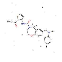 COC(=O)c1sccc1NC(=O)N1CCOc2ccc(CN(C(C)=O)c3ccc(C)cc3)cc2C1(C)C